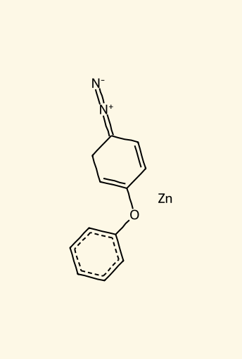 [N-]=[N+]=C1C=CC(Oc2ccccc2)=CC1.[Zn]